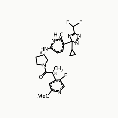 COc1cc([C@@H](C)C(=O)N2CC[C@H](Nc3ccc(C4(C5CC5)N=NC(C(F)F)=N4)c(C)n3)C2)c(F)cn1